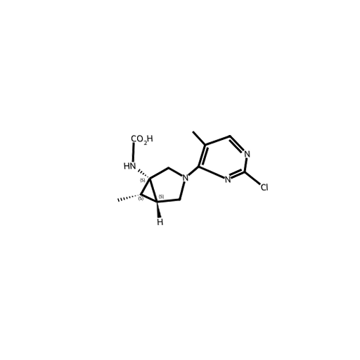 Cc1cnc(Cl)nc1N1C[C@@H]2[C@H](C)[C@@]2(NC(=O)O)C1